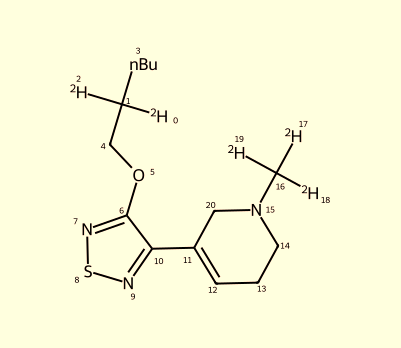 [2H]C([2H])(CCCC)COc1nsnc1C1=CCCN(C([2H])([2H])[2H])C1